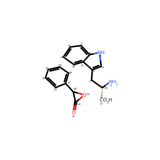 N[C@@H](Cc1c[nH]c2ccccc12)C(=O)O.O=C1OC1c1ccccc1